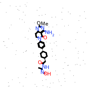 COc1nc(N)c2c(n1)CCN(c1ccc([C@H]3CC[C@H](CC(=O)N/C(C)=N\O)CC3)cc1)C2=O